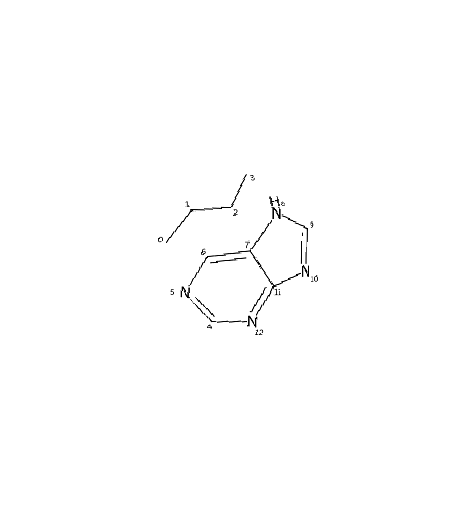 CCCC.c1ncc2[nH]cnc2n1